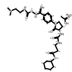 CC(=O)O.CN(C)CCNC(=O)ONC(=N)c1ccc(N2CC[C@H](NC(=O)NCCC(=O)OC3CCCCC3)C2=O)cc1.O